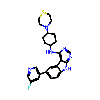 Fc1cncc(-c2ccc3[nH]c4ncnc(NC5CCC(N6CCSCC6)CC5)c4c3c2)c1